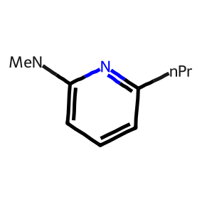 CCCc1cccc(NC)n1